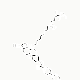 C[C@]12CC[C@@H]3c4ccc(OC(=O)N5CCC(N6CCOCC6)CC5)cc4C[C@@H](CCCCCCCCC[S+]([O-])CCCC(F)(F)C(F)(F)F)[C@H]3[C@@H]1CCC2O